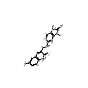 Cn1c(=O)[nH]c2cnc(NCc3cc4cc(Cl)ccc4[nH]c3=O)nc21